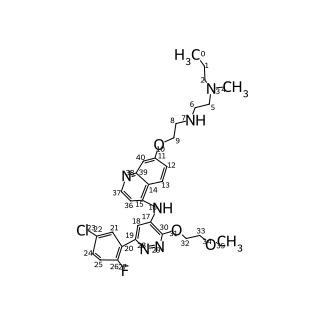 CCCN(C)CCNCCOc1ccc2c(Nc3cc(-c4cc(Cl)ccc4F)nnc3OCCOC)ccnc2c1